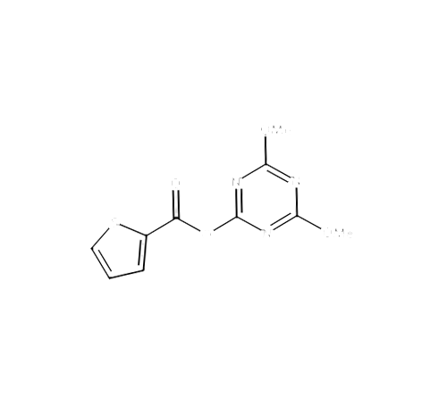 COc1nc(OC)nc(OC(=O)c2cccs2)n1